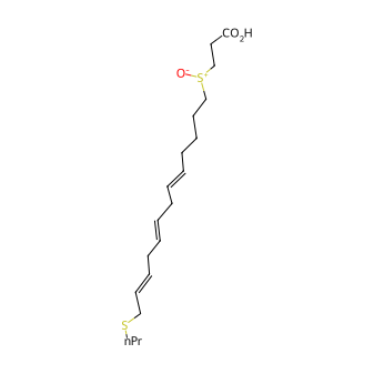 CCCSCC=CCC=CCC=CCCCC[S+]([O-])CCC(=O)O